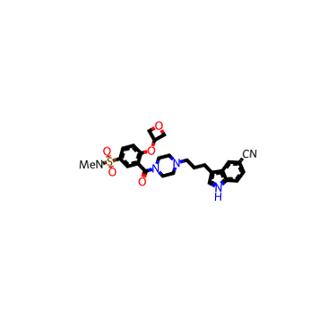 CNS(=O)(=O)c1ccc(OC2COC2)c(C(=O)N2CCN(CCCc3c[nH]c4ccc(C#N)cc34)CC2)c1